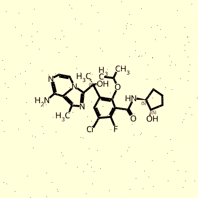 Cc1nc([C@@](C)(O)c2cc(Cl)c(F)c(C(=O)N[C@H]3CCC[C@@H]3O)c2OC(C)C)n2ccnc(N)c12